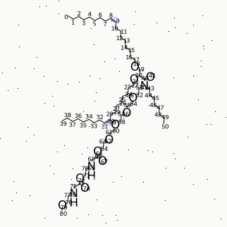 CCCCCCCC/C=C\CCCCCCCCOCC(OCCCCCCCC/C=C\CCCCCCCC)C(=O)N(CCCCCCCC)CCOCCOCCOCCOCCOC(=O)CNCCOC(=O)CNCCOC